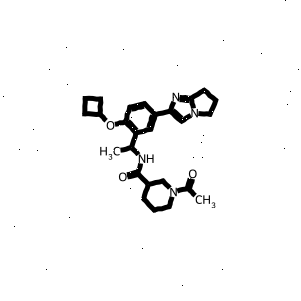 CC(=O)N1CCCC(C(=O)NC(C)c2cc(-c3cn4c(n3)CCC4)ccc2OC2CCC2)C1